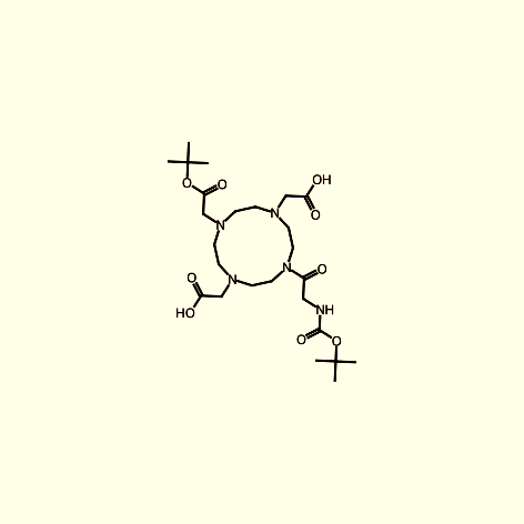 CC(C)(C)OC(=O)CN1CCN(CC(=O)O)CCN(C(=O)CNC(=O)OC(C)(C)C)CCN(CC(=O)O)CC1